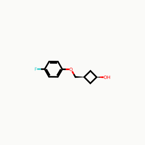 O[C@H]1C[C@@H](COc2ccc(F)cc2)C1